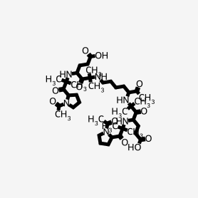 CC(=O)C(CCCCNC(C)(C)C(=O)C(CCC(=O)O)NC(C)(C)C(=O)C1CCCN1C(C)=O)NC(C)(C)C(=O)C(CCC(=O)O)NC(C)(C)C(=O)C1CCCN1C(C)=O